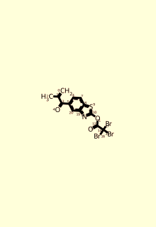 C=C(C)C(=O)c1ccc2sc(OC(=O)C(Br)(Br)Br)nc2c1